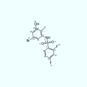 Cc1c(NS(=O)(=O)c2ccc(F)cc2F)cc(Br)c[n+]1O